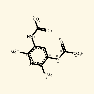 COc1nc(OC)c(NC(=O)C(=O)O)cc1NC(=O)C(=O)O